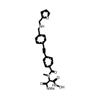 CNC(=O)C(C(=O)NO)N(C)C(=O)c1ccc(C#Cc2ccc(CNCc3ccco3)cc2)cc1